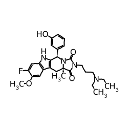 CCN(CC)CCCN1C(=O)N2[C@H](c3cccc(O)c3)c3[nH]c4cc(F)c(OC)cc4c3C[C@@]2(C)C1=O